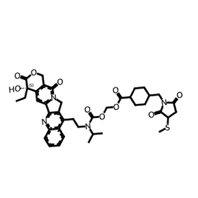 CC[C@@]1(O)C(=O)OCc2c1cc1n(c2=O)Cc2c-1nc1ccccc1c2CCN(C(=O)OCOC(=O)C1CCC(CN2C(=O)CC(SC)C2=O)CC1)C(C)C